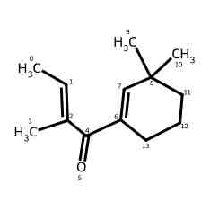 CC=C(C)C(=O)C1=CC(C)(C)CCC1